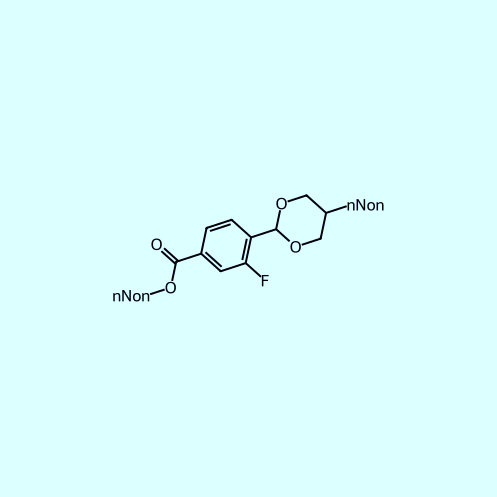 CCCCCCCCCOC(=O)c1ccc(C2OCC(CCCCCCCCC)CO2)c(F)c1